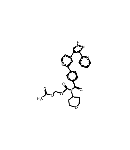 CC(=O)OCOC(=O)N(C(=O)c1ccc(-c2cc(-c3c[nH]nc3-c3ccccn3)ccn2)cc1)C1CCOCC1